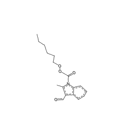 CCCCCCOOC(=O)n1c(C)c(C=O)c2ccccc21